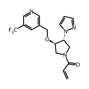 C=CC(=O)N1C[C@@H](n2cccn2)[C@H](OCc2cncc(C(F)(F)F)c2)C1